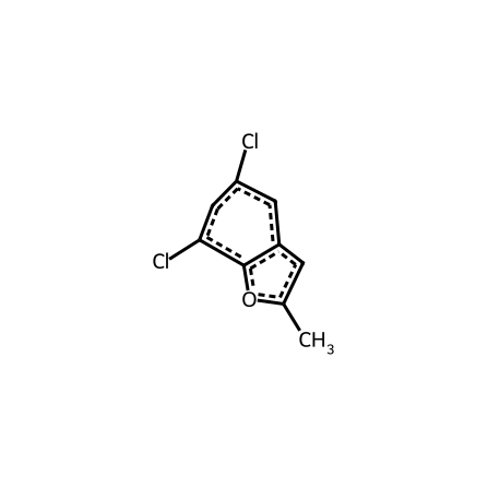 Cc1cc2cc(Cl)cc(Cl)c2o1